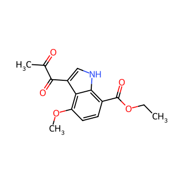 CCOC(=O)c1ccc(OC)c2c(C(=O)C(C)=O)c[nH]c12